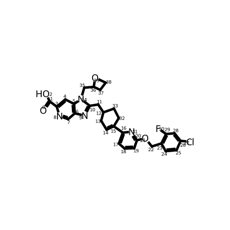 O=C(O)c1cc2c(cn1)nc(CC1CC=C(c3cccc(OCc4ccc(Cl)cc4F)n3)CC1)n2CC1CCO1